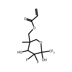 C=CC(=O)OCC1(C)COC(O)(C(F)(F)F)C(F)(F)C1O